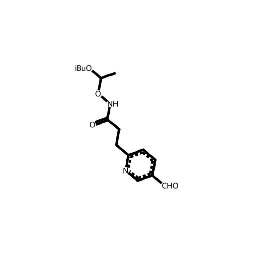 CC(C)COC(C)ONC(=O)CCc1ccc(C=O)cn1